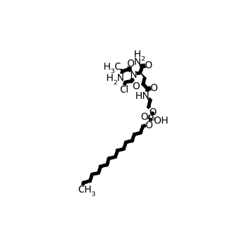 CCCCCCCCCCCCCCCCOP(=O)(O)OCCNC(=O)CC[C@H](C(N)=O)N(C(=O)CCl)C(=O)[C@H](C)N